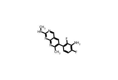 CNc1ncc2cc(-c3ccc(F)c(N)c3F)c(C)nc2n1